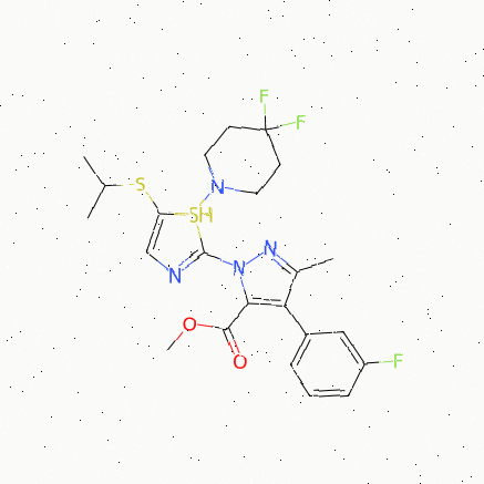 COC(=O)c1c(-c2cccc(F)c2)c(C)nn1C1=NC=C(SC(C)C)[SH]1N1CCC(F)(F)CC1